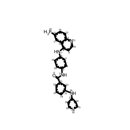 O=C(Nc1ccc(Nc2ccnc3ccc(P)cc23)cc1)c1cccc(Nc2ccncc2)c1